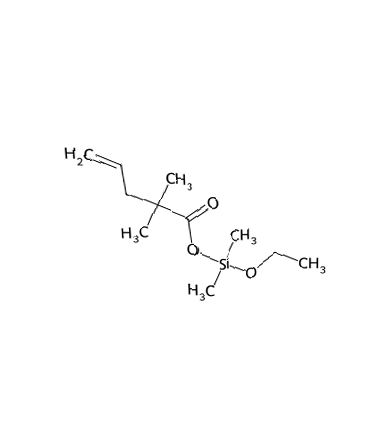 C=CCC(C)(C)C(=O)O[Si](C)(C)OCC